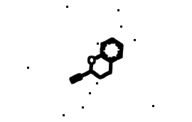 C#CC1CCc2ccccc2O1